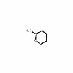 C[C@H]1CCCCO1